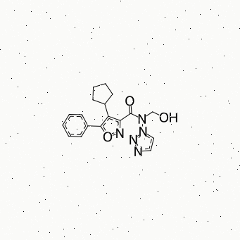 O=C(c1noc(-c2ccccc2)c1C1CCCC1)N(CO)n1ccnn1